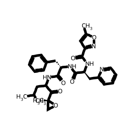 Cc1cc(C(=O)N[C@@H](Cc2ccccn2)C(=O)N[C@@H](Cc2ccccc2)C(=O)NC(CC(C)C)C(=O)[C@@]2(C)CO2)no1